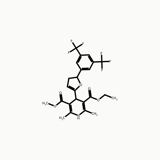 CCOC(=O)C1=C(C)NC(C)=C(C(=O)OC)C1C1=CCC(c2cc(C(F)(F)F)cc(C(F)(F)F)c2)O1